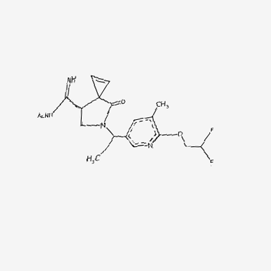 CC(=O)NC(=N)C1CN(C(C)c2cnc(OCC(F)F)c(C)c2)C(=O)C12C=C2